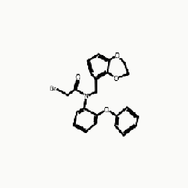 O=C(CBr)N(Cc1cccc2c1OCCO2)c1ccccc1Oc1ccccc1